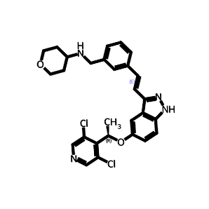 C[C@@H](Oc1ccc2[nH]nc(/C=C/c3cccc(CNC4CCOCC4)c3)c2c1)c1c(Cl)cncc1Cl